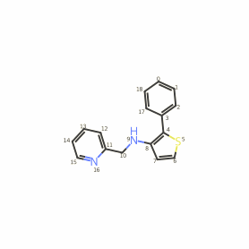 c1ccc(-c2sccc2NCc2ccccn2)cc1